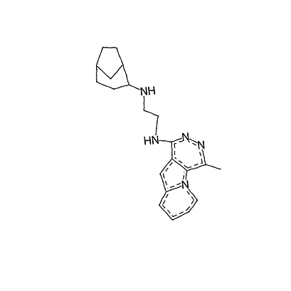 Cc1nnc(NCCNC2CCC3CCC2C3)c2cc3ccccn3c12